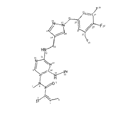 C/C=C(/CC)C(=O)N(C)c1cnc(NCc2cnn(Cc3cc(F)c(F)c(F)c3)c2)nc1NC(C)C